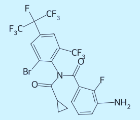 Nc1cccc(C(=O)N(C(=O)C2CC2)c2c(Br)cc(C(F)(C(F)(F)F)C(F)(F)F)cc2C(F)(F)F)c1F